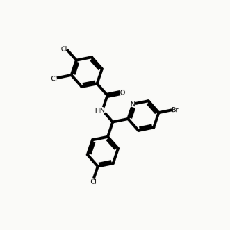 O=C(NC(c1ccc(Cl)cc1)c1ccc(Br)cn1)c1ccc(Cl)c(Cl)c1